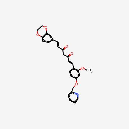 COc1cc(OCc2ccccn2)ccc1/C=C/C(=O)CC(=O)/C=C/c1ccc2c(c1)OCCO2